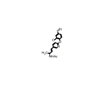 CCSc1ccc(Oc2ccc(/C=C/[C@H](C)NC(C)=O)cn2)c(Cl)c1